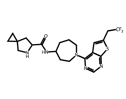 O=C(NC1CCCN(c2ncnc3sc(CC(F)(F)F)cc23)CC1)C1CC2(CC2)CN1